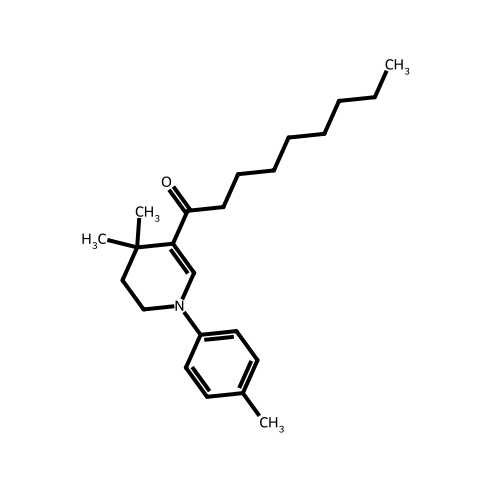 CCCCCCCCC(=O)C1=CN(c2ccc(C)cc2)CCC1(C)C